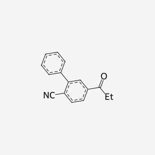 CCC(=O)c1ccc(C#N)c(-c2ccccc2)c1